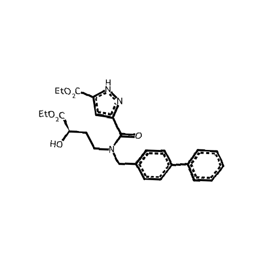 CCOC(=O)c1cc(C(=O)N(CC[C@@H](O)C(=O)OCC)Cc2ccc(-c3ccccc3)cc2)n[nH]1